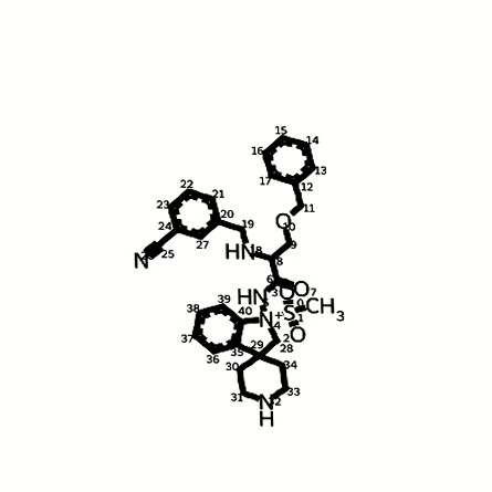 CS(=O)(=O)[N+]1(NC(=O)C(COCc2ccccc2)NCc2cccc(C#N)c2)CC2(CCNCC2)c2ccccc21